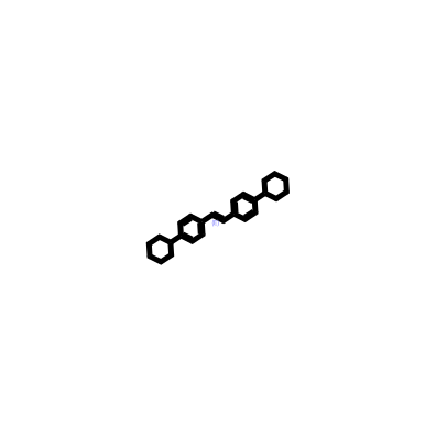 C(=C\c1ccc(C2CCCCC2)cc1)/c1ccc(C2CCCCC2)cc1